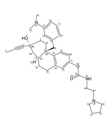 CC#C[C@@]1(O)CC[C@]2(Cc3cccc(N(C)C)c3)c3ccc(OC(=O)NCCN4CCCC4)cc3CC[C@H]2C1